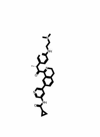 C=C(/C=C\C(=C/C)[C@@H](C)C(=O)C1=NCCc2ccc(-c3cncc(NC(=O)C4CC4)c3)cc21)NCCN(C)C